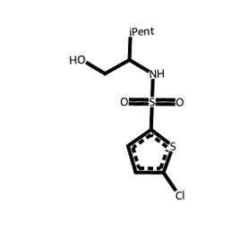 CCCC(C)C(CO)NS(=O)(=O)c1ccc(Cl)s1